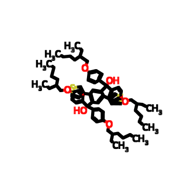 CCCCC(CC)COc1ccc(C(O)(c2ccc(OCC(CC)CCCC)cc2)c2cc(-c3ccsc3)c(C(O)(c3ccc(OCC(CC)CCCC)cc3)c3ccc(OCC(CC)CCCC)cc3)cc2-c2ccsc2)cc1